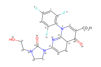 O=C(O)C1=CN(c2c(F)cc(F)cc2F)C2=NC(N3CCN(CCO)C3=O)=CCC2C1=O